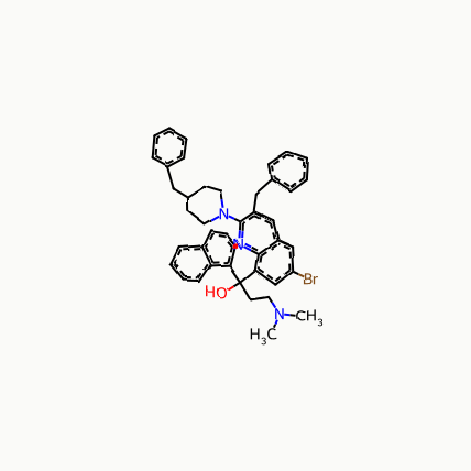 CN(C)CCC(O)(c1cccc2ccccc12)c1cc(Br)cc2cc(Cc3ccccc3)c(N3CCC(Cc4ccccc4)CC3)nc12